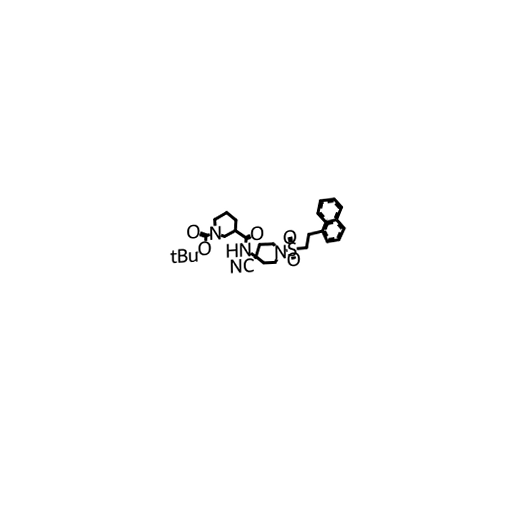 CC(C)(C)OC(=O)N1CCCC(C(=O)NC2(C#N)CCN(S(=O)(=O)CCc3cccc4ccccc34)CC2)C1